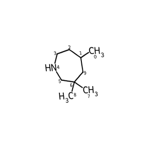 CC1CCNCC(C)(C)C1